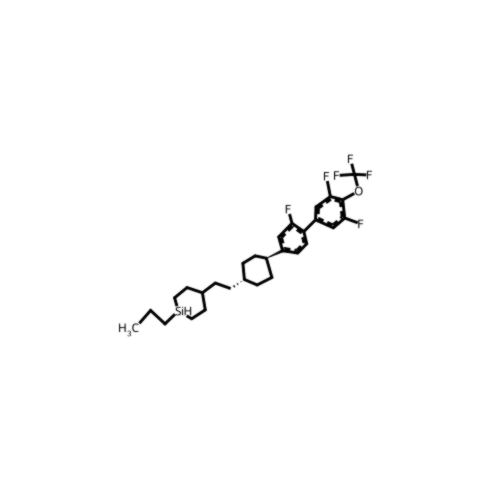 CCC[SiH]1CCC(CC[C@H]2CC[C@H](c3ccc(-c4cc(F)c(OC(F)(F)F)c(F)c4)c(F)c3)CC2)CC1